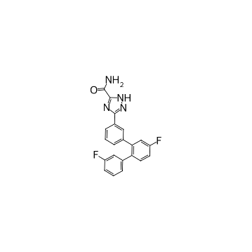 NC(=O)c1nc(-c2cccc(-c3cc(F)ccc3-c3cccc(F)c3)c2)n[nH]1